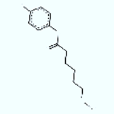 O=C(CCCCCO[N+](=O)[O-])Oc1ccc(O)cc1